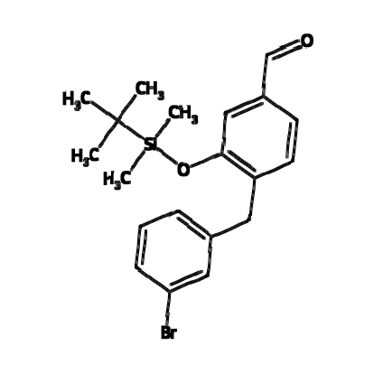 CC(C)(C)[Si](C)(C)Oc1cc(C=O)ccc1Cc1cccc(Br)c1